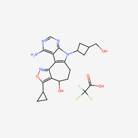 Nc1ncnc2c1c1c(n2C2CC(CO)C2)CCC(O)c2c-1noc2C1CC1.O=C(O)C(F)(F)F